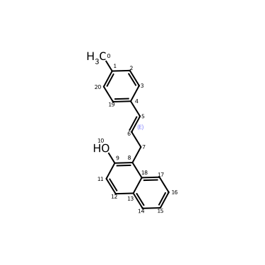 Cc1ccc(/C=C/Cc2c(O)ccc3ccccc23)cc1